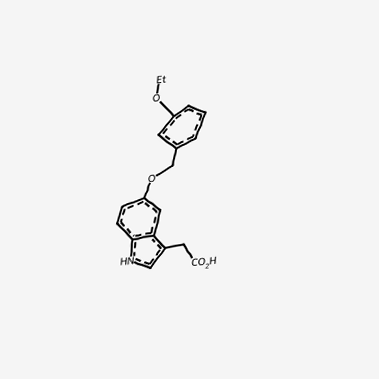 CCOc1cccc(COc2ccc3[nH]cc(CC(=O)O)c3c2)c1